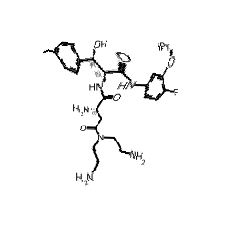 Cc1ccc([C@@H](O)[C@H](NC(=O)[C@@H](N)CC(=O)N(CCN)CCN)C(=O)Nc2ccc(F)c(OC(C)C)c2)cc1